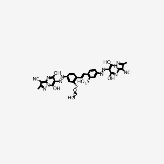 [C-]#[N+]c1c(C)nn2c(O)c(/N=N/c3ccc(/C=C/c4ccc(/N=N/c5c(O)nc6c(C#N)c(C)nn6c5O)cc4SOOO)c(S(=O)(=O)O)c3)c(O)nc12